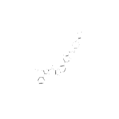 CCc1nc2ccc(-c3cnc(C(=O)NC4CCN(C(=O)OC(C)(C)C)CC4)nc3)cn2c1N(C)c1nc(-c2ccc(F)cc2)c(C#N)s1